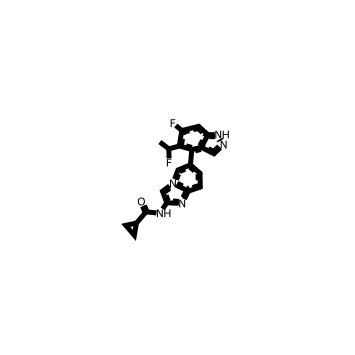 CC(F)c1c(F)cc2[nH]ncc2c1-c1ccc2nc(NC(=O)C3CC3)cn2c1